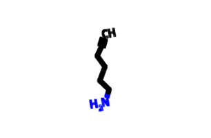 C#CCCCCN